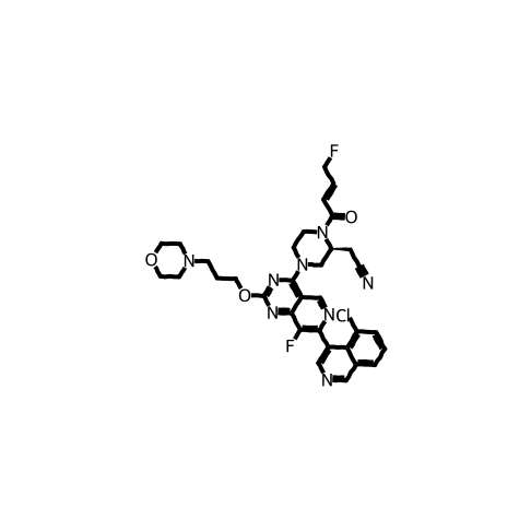 N#CC[C@H]1CN(c2nc(OCCCN3CCOCC3)nc3c(F)c(-c4cncc5cccc(Cl)c45)ncc23)CCN1C(=O)/C=C/CF